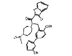 COc1ccc(-c2cccc(C#N)c2)cc1CN(C(=O)c1sc2ccccc2c1Cl)[C@H]1CC[C@H](N(C)Cl)CC1